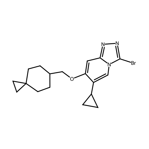 Brc1nnc2cc(OCC3CCC4(CC3)CC4)c(C3CC3)cn12